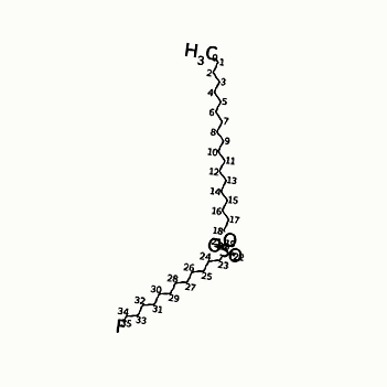 CCCCCCCCCCCCCCCCCCCOS(=O)(=O)CCCCCCCCCCCCF